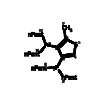 CCCCCP(CCCCC)c1csc(C)c1P(CCCCC)CCCCC